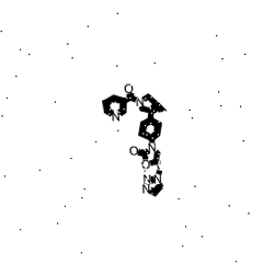 O=C(c1cccnc1)N1CC2CC2(c2ccc(N3C[C@H](Cn4ccnn4)OC3=O)cc2)C1